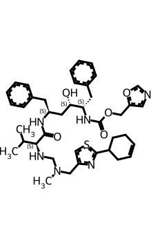 CC(C)[C@H](NCN(C)Cc1csc(C2CC=CCC2)n1)C(=O)N[C@@H](Cc1ccccc1)C[C@H](O)[C@H](Cc1ccccc1)NC(=O)OCc1cnco1